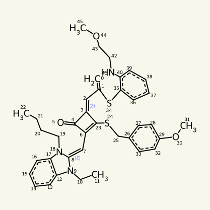 C=C(/C=C1/C(=O)C(/C=C2/N(CC)c3ccccc3N2CCCC)=C1SCc1ccc(OC)cc1)Sc1ccccc1NCCOC